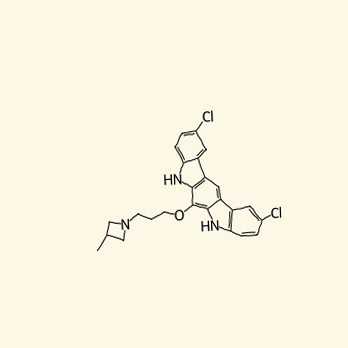 CC1CN(CCCOc2c3[nH]c4ccc(Cl)cc4c3cc3c2[nH]c2ccc(Cl)cc23)C1